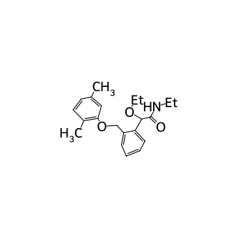 CCNC(=O)C(OCC)c1ccccc1COc1cc(C)ccc1C